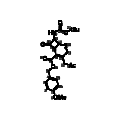 COc1ccc(COC(=O)C2=C(CC(C)=O)CSC3C(NC(=O)OC(C)(C)C)C(=O)N23)cc1